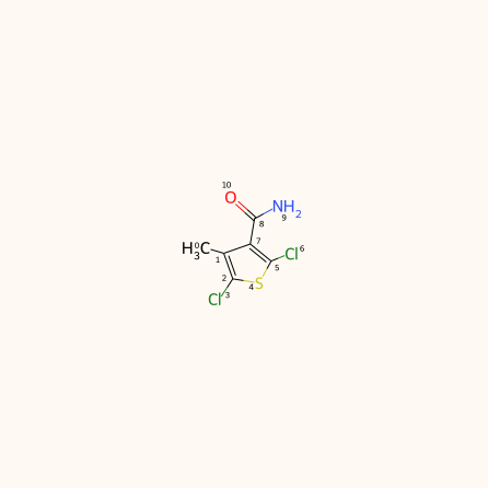 Cc1c(Cl)sc(Cl)c1C(N)=O